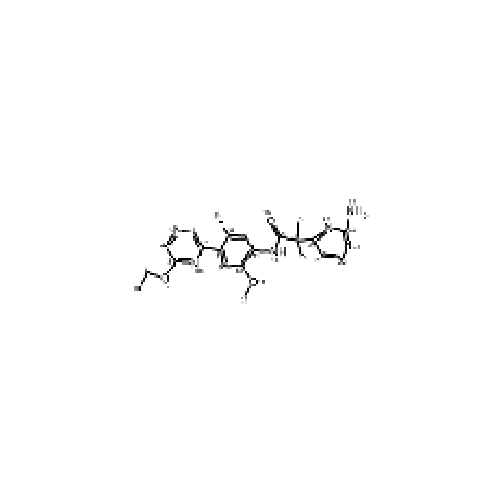 CCOc1cncc(-c2cc(OC)c(NC(=O)C(C)(C)c3ccnc(N)n3)cc2F)n1